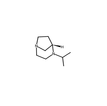 CC(C)N1CCN2CC[C@H]1C2